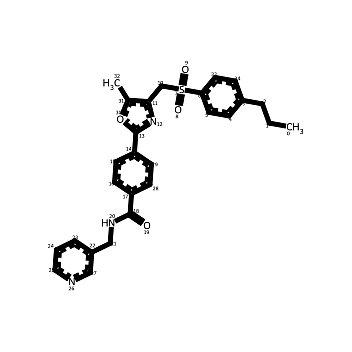 CCCc1ccc(S(=O)(=O)Cc2nc(-c3ccc(C(=O)NCc4cccnc4)cc3)oc2C)cc1